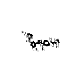 Cc1cc(Nc2nccc(C(F)(F)F)n2)cc(-c2cnc([C@]3(O)CC[C@H](NC(=O)c4ncc[nH]4)CC3)s2)c1